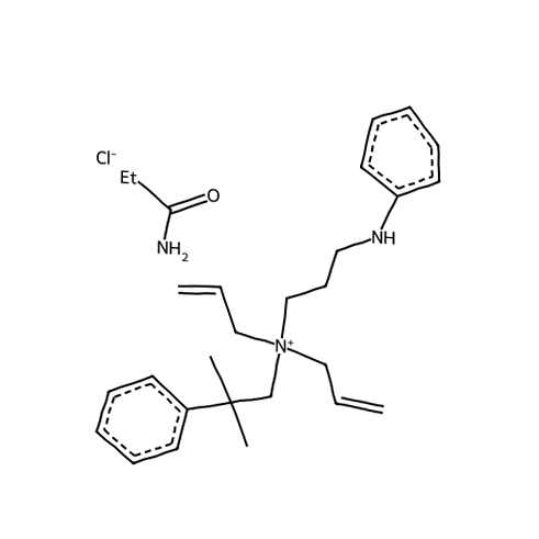 C=CC[N+](CC=C)(CCCNc1ccccc1)CC(C)(C)c1ccccc1.CCC(N)=O.[Cl-]